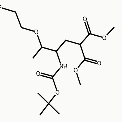 COC(=O)C(CC(NC(=O)OC(C)(C)C)C(C)OCCF)C(=O)OC